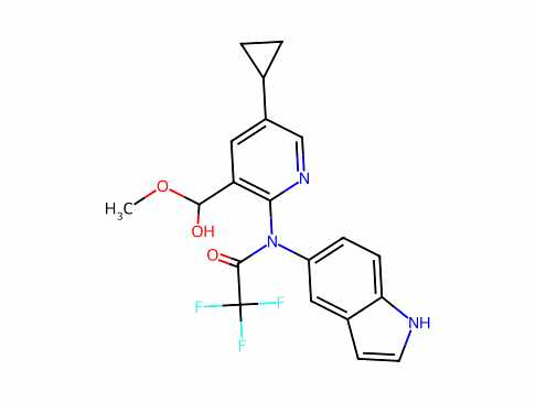 COC(O)c1cc(C2CC2)cnc1N(C(=O)C(F)(F)F)c1ccc2[nH]ccc2c1